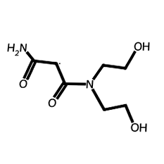 NC(=O)[CH]C(=O)N(CCO)CCO